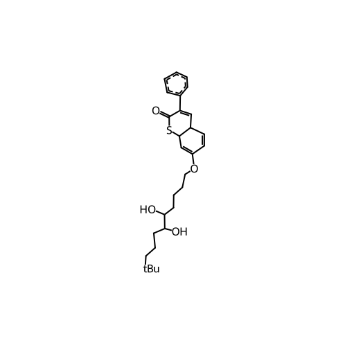 CC(C)(C)CCCC(O)C(O)CCCCOC1=CC2SC(=O)C(c3ccccc3)=CC2C=C1